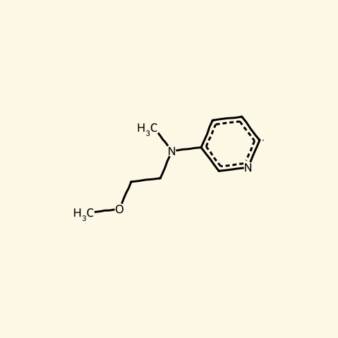 COCCN(C)c1cc[c]nc1